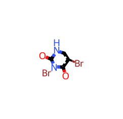 O=c1[nH]cc(Br)c(=O)n1Br